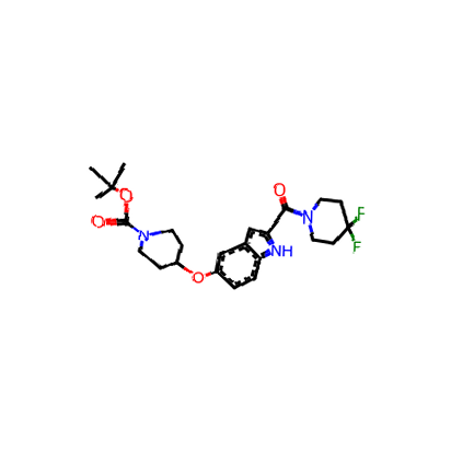 CC(C)(C)OC(=O)N1CCC(Oc2ccc3[nH]c(C(=O)N4CCC(F)(F)CC4)cc3c2)CC1